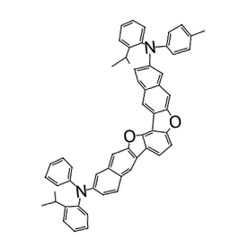 Cc1ccc(N(c2ccc3cc4c(cc3c2)oc2ccc3c5cc6ccc(N(c7ccccc7)c7ccccc7C(C)C)cc6cc5oc3c24)c2ccccc2C(C)C)cc1